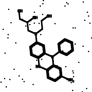 Nc1ccc2c(c1)N(c1ccccc1)c1cc(N(CCO)CC(O)CO)ccc1N2